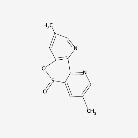 Cc1cnc2c(c1)OS(=O)c1cc(C)cnc1-2